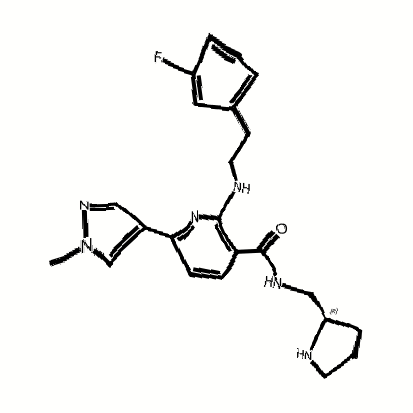 Cn1cc(-c2ccc(C(=O)NC[C@H]3CCCN3)c(NCCc3cccc(F)c3)n2)cn1